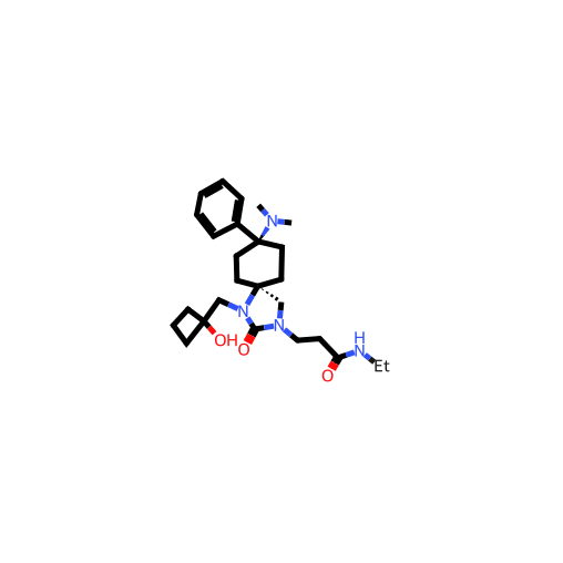 CCNC(=O)CCN1C[C@]2(CC[C@](c3ccccc3)(N(C)C)CC2)N(CC2(O)CCC2)C1=O